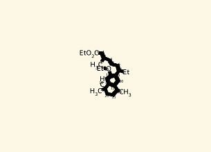 CCOC(=O)/C=C(C)/C=C/C=C(/CC)c1cc2c(cc1OCC)C(C)(C)CC=C2C